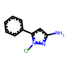 Nc1cc(-c2ccccc2)n(Cl)n1